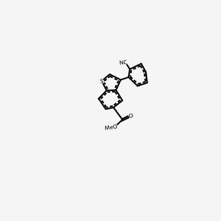 COC(=O)c1ccc2scc(-c3ccccc3C#N)c2c1